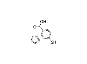 O=C(O)c1ccc(S)cc1.c1ccsc1